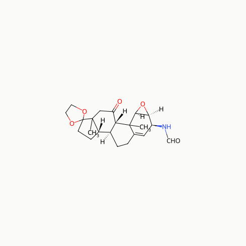 CC12C(=C[C@H](NC=O)[C@@H]3O[C@@H]31)CC[C@@H]1[C@@H]2C(=O)CC2(C)[C@H]1CCC21OCCO1